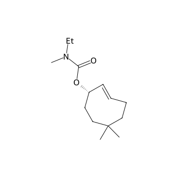 CCN(C)C(=O)O[C@@H]1/C=C/CCC(C)(C)CC1